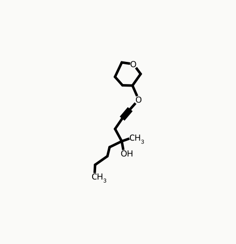 CCCCC(C)(O)CC#COC1CCCOC1